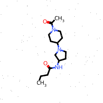 CCCC(=O)NC1CCN(C2CCN(C(C)=O)CC2)C1